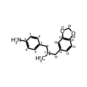 CN(Cc1ccc(N)cc1)Cc1ccc2c(c1)OCO2